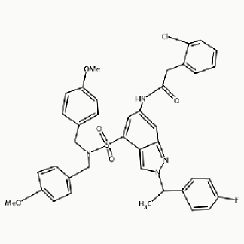 COc1ccc(CN(Cc2ccc(OC)cc2)S(=O)(=O)c2cc(NC(=O)Cc3ccccc3Cl)cc3nn(C(C)c4ccc(F)cc4)cc23)cc1